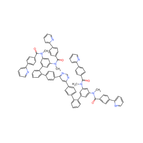 CN(C(=O)c1ccc(-c2ccccn2)cc1)c1cc(-c2ccccc2-c2ccc(-c3cc(-c4ccc(-c5ccccc5-c5cc(N(C)C(=O)c6ccc(-c7ccccn7)cc6)cc(N(C)C(=O)c6ccc(-c7ccccn7)cc6)c5)cc4)ncn3)cc2)cc(N(C)C(=O)c2ccc(-c3ccccn3)cc2)c1